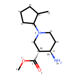 COC(=O)[C@@H]1CN(C2CCCC2C)CC[C@H]1N